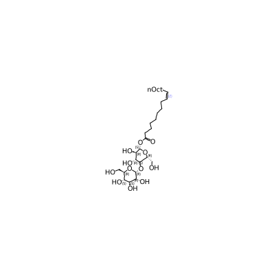 CCCCCCCC/C=C\CCCCCCCC(=O)O[C@@H]1O[C@H](CO)[C@@H](O[C@H]2O[C@H](CO)[C@@H](O)[C@H](O)[C@H]2O)[C@H](O)[C@H]1O